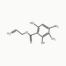 C=CCOC(=O)c1c(O)cc(N)c(C)c1O